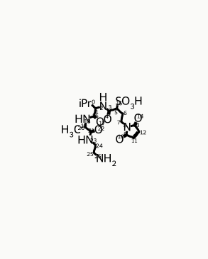 CC(C)C(NC(=O)C(CCN1C(=O)C=CC1=O)S(=O)(=O)O)C(=O)N[C@@H](C)C(=O)NCCN